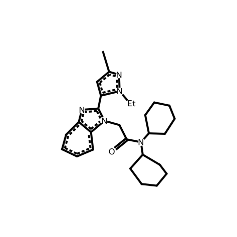 CCn1nc(C)cc1-c1nc2ccccc2n1CC(=O)N(C1CCCCC1)C1CCCCC1